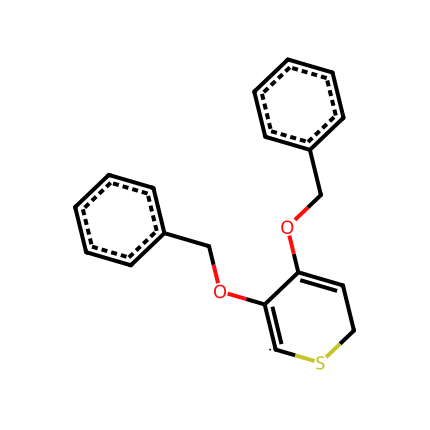 [C]1=C(OCc2ccccc2)C(OCc2ccccc2)=CCS1